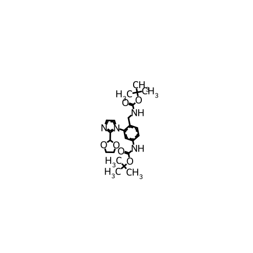 CC(C)(C)OC(=O)NCc1ccc(NC(=O)OC(C)(C)C)cc1-n1ccnc1C1OCCO1